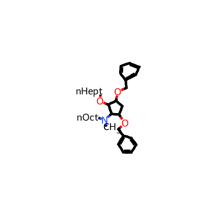 CCCCCCCCN(C)C1C(OCc2ccccc2)CC(OCc2ccccc2)C1OCCCCCCC